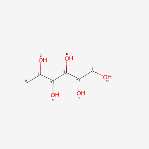 CC(O)C(O)[C](O)C(O)CO